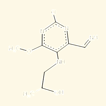 COc1nc(Cl)nc(C=N)c1NC[C@@H](C)O